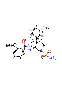 COc1ccccc1C(=O)NCC1(c2cc(F)ccc2F)CCN(S(N)(=O)=O)CC1